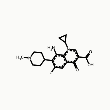 CN1CCC(c2c(F)cc3c(=O)c(C(=O)O)cn(C4CC4)c3c2N)CC1